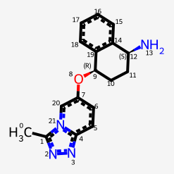 Cc1nnc2ccc(O[C@@H]3CC[C@H](N)c4ccccc43)cn12